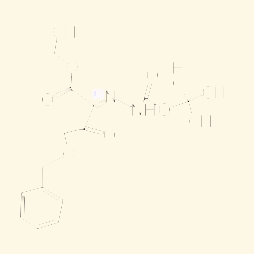 CCOC(=O)/C(=N/NC(=O)OC(C)(C)C)C(=O)COCc1ccccc1